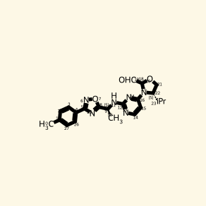 Cc1ccc(-c2noc([C@H](C)Nc3nccc(N4C(C=O)OC[C@@H]4C(C)C)n3)n2)cc1